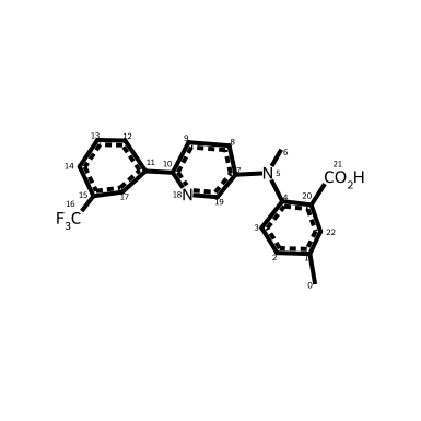 Cc1ccc(N(C)c2ccc(-c3cccc(C(F)(F)F)c3)nc2)c(C(=O)O)c1